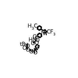 Cc1ccc(-c2cc(C(F)(F)F)nn2-c2ccc(S(=O)(=O)NC(=O)OC3CCN(n4on4OCOC(=O)OC(C)(C)C)C3)cc2)cc1